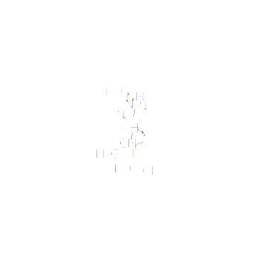 CNN1CN=C(C)C(Cc2ccc(P(CC(C)C)CC(C)C)cc2)=C1N1CCCC1